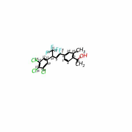 C=C(O)c1ccc(/C(F)=C/C(c2cc(Cl)c(Cl)c(Cl)c2)C(F)(F)F)cc1C